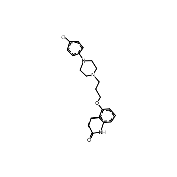 O=C1CCc2c(cccc2OCCCN2CCN(c3ccc(Cl)cc3)CC2)N1